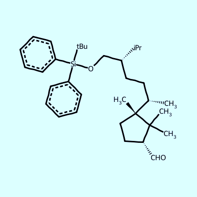 CC(C)[C@H](CC[C@H](C)[C@@]1(C)CC[C@@H](C=O)C1(C)C)CO[Si](c1ccccc1)(c1ccccc1)C(C)(C)C